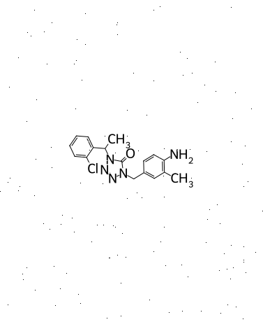 Cc1cc(Cn2nnn(C(C)c3ccccc3Cl)c2=O)ccc1N